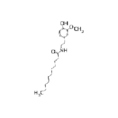 CCCCCCCCCCC(=O)NCCc1ccc(O)c(OC)c1